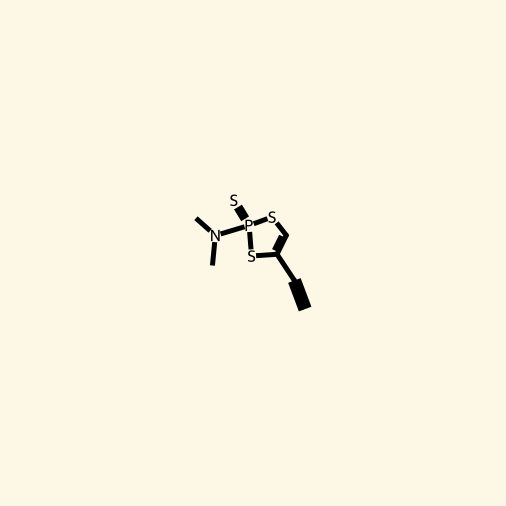 C#CC1=CSP(=S)(N(C)C)S1